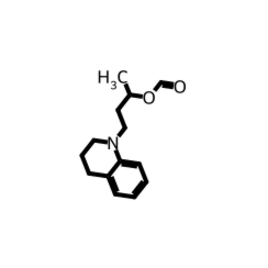 CC(CCN1CCCc2ccccc21)OC=O